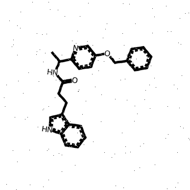 CC(NC(=O)CCc1c[nH]c2ccccc12)c1ccc(OCc2ccccc2)cn1